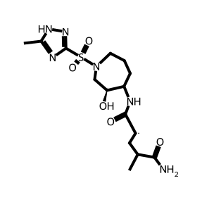 Cc1nc(S(=O)(=O)N2CCCC(NC(=O)[CH]CC(C)C(N)=O)[C@@H](O)C2)n[nH]1